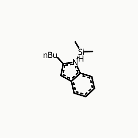 CCCCc1cc2ccccc2n1[SiH](C)C